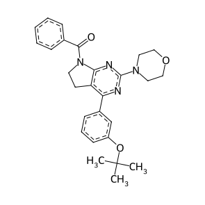 CC(C)(C)Oc1cccc(-c2nc(N3CCOCC3)nc3c2CCN3C(=O)c2ccccc2)c1